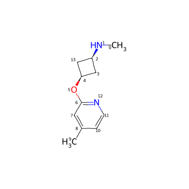 CN[C@H]1C[C@@H](Oc2cc(C)ccn2)C1